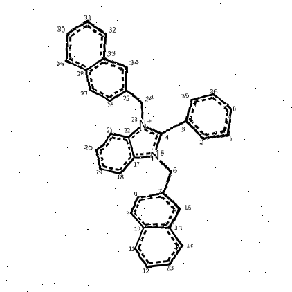 c1ccc(-c2n(Cc3ccc4ccccc4c3)c3ccccc3[n+]2Cc2ccc3ccccc3c2)cc1